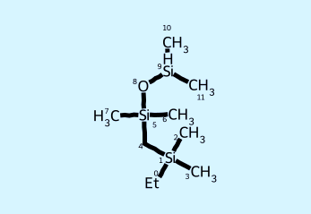 CC[Si](C)(C)C[Si](C)(C)O[SiH](C)C